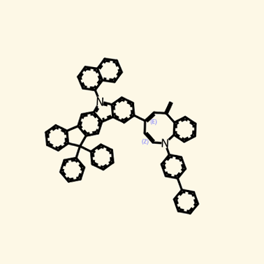 C=C1/C=C(c2ccc3c(c2)c2cc4c(cc2n3-c2cccc3ccccc23)-c2ccccc2C4(c2ccccc2)c2ccccc2)\C=C/N(c2ccc(-c3ccccc3)cc2)c2ccccc21